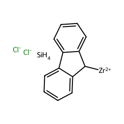 [Cl-].[Cl-].[SiH4].[Zr+2][CH]1c2ccccc2-c2ccccc21